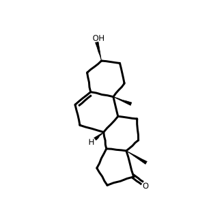 C[C@]12CC[C@H](O)CC1=CC[C@@H]1C2CC[C@]2(C)C(=O)CCC12